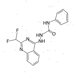 O=C(NNc1nc(C(F)F)nc2ccccc12)Nc1ccccc1